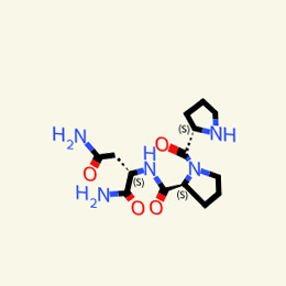 NC(=O)C[C@H](NC(=O)[C@@H]1CCCN1C(=O)[C@@H]1CCCN1)C(N)=O